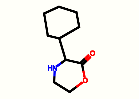 O=C1OCCNC1C1CCCCC1